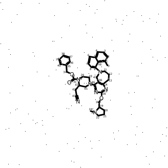 Cc1cccc2cccc(N3CCCc4nc(OCC5CCCN5C)nc(N5CCN(C(=O)OCc6ccccc6)C(CC#N)C5)c4C3)c12